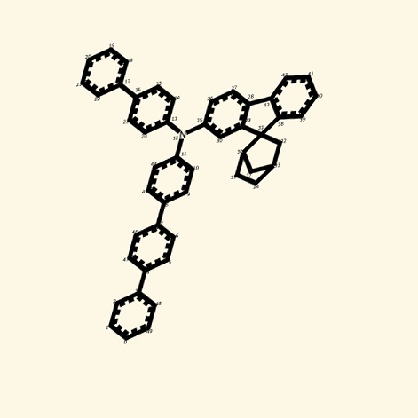 c1ccc(-c2ccc(-c3ccc(N(c4ccc(-c5ccccc5)cc4)c4ccc5c(c4)C4(CC6CCC4C6)c4ccccc4-5)cc3)cc2)cc1